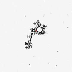 CC[C@H]1OC(=O)[C@H](C)[C@@H](O[C@H]2C[C@@](C)(OC)[C@@H](OC(=O)CCNCCCc3ccc4c(c3)c(=O)c(C(=O)O)cn4N(C)C)[C@H](C)O2)[C@H](C)[C@@H](O[C@@H]2O[C@H](C)C[C@H](N(C)C)[C@H]2O)[C@](C)(O)C[C@@H](C)/C(=N\OCOC)[C@@H](C)[C@@H](O)[C@]1(C)O